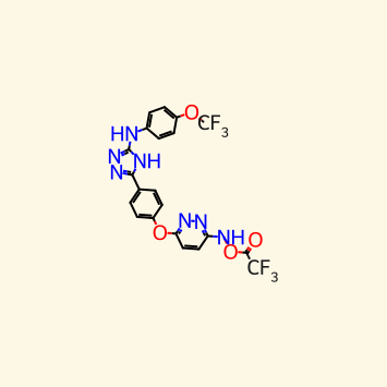 O=C(ONc1ccc(Oc2ccc(-c3nnc(Nc4ccc(OC(F)(F)F)cc4)[nH]3)cc2)nn1)C(F)(F)F